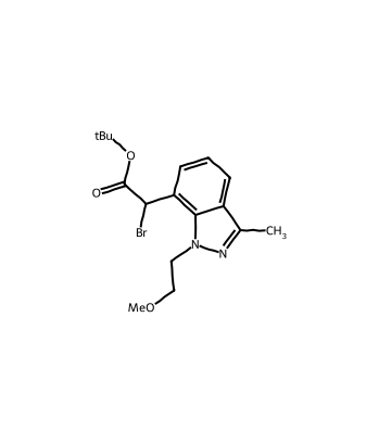 COCCn1nc(C)c2cccc(C(Br)C(=O)OC(C)(C)C)c21